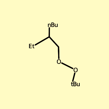 CCCCC(CC)COOC(C)(C)C